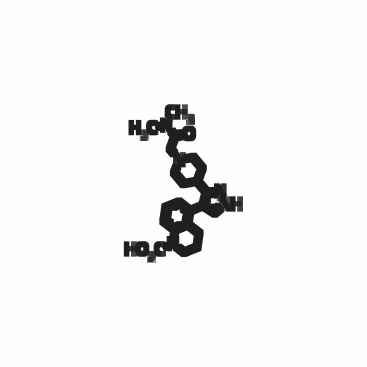 CN(C)C(=O)CN1CCC(c2n[nH]cc2-c2cccc3c2CCCN3C(=O)O)CC1